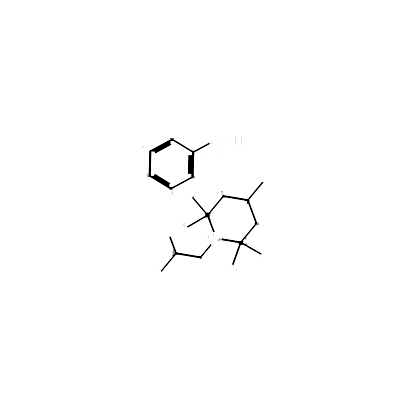 CC(O)CN1C(C)(C)CC(C)CC1(C)C.O=C(O)c1ccccc1